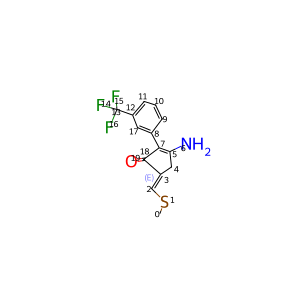 CS/C=C1\CC(N)=C(c2cccc(C(F)(F)F)c2)C1=O